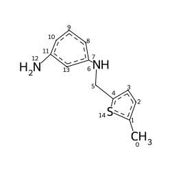 Cc1ccc(CNc2cccc(N)c2)s1